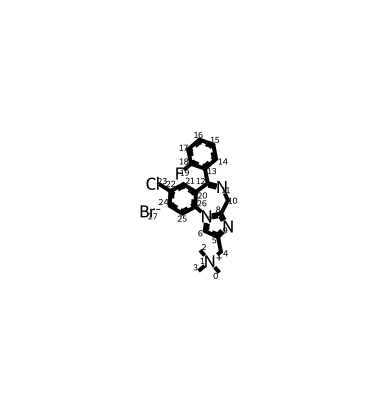 C[N+](C)(C)Cc1cn2c(n1)CN=C(c1ccccc1F)c1cc(Cl)ccc1-2.[Br-]